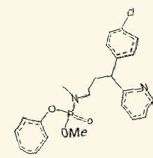 COP(=O)(Oc1ccccc1)N(C)CCC(c1ccc(Cl)cc1)c1ccccn1